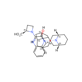 CC12C[C@H]3C[C@@H](N4[C@@H]5CCC[C@H]4C[C@@H](n4c(=O)c(N6CC[C@@H]6C(=O)O)nc6ccccc64)C5)C[C@@H]1C[C@@H]2C3